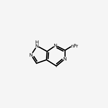 CCCc1n[c]c2cn[nH]c2n1